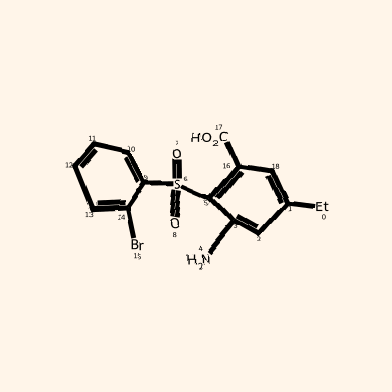 CCc1cc(N)c(S(=O)(=O)c2ccccc2Br)c(C(=O)O)c1